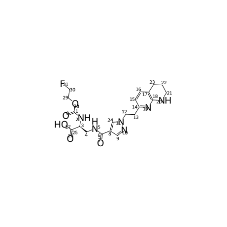 O=C(N[C@@H](CNC(=O)c1cnn(CCc2ccc3c(n2)NCCC3)c1)C(=O)O)OCCF